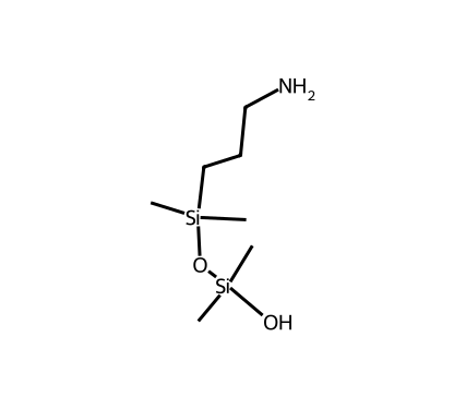 C[Si](C)(O)O[Si](C)(C)CCCN